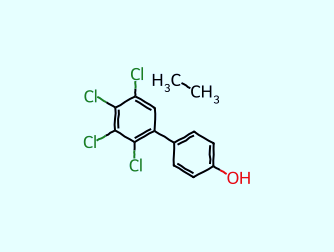 CC.Oc1ccc(-c2cc(Cl)c(Cl)c(Cl)c2Cl)cc1